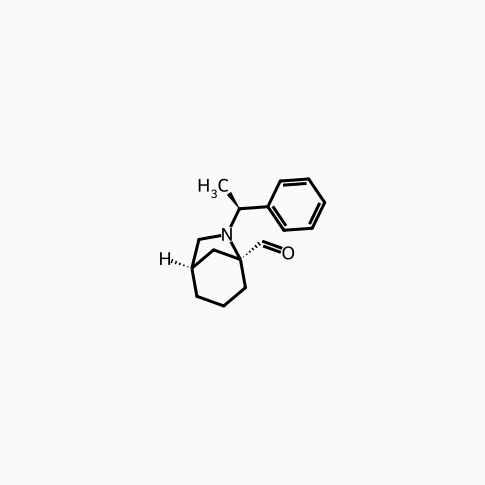 C[C@@H](c1ccccc1)N1C[C@@H]2CCC[C@@]1(C=O)C2